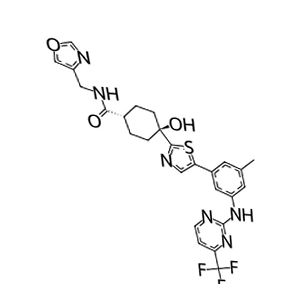 Cc1cc(Nc2nccc(C(F)(F)F)n2)cc(-c2cnc([C@]3(O)CC[C@H](C(=O)NCc4cocn4)CC3)s2)c1